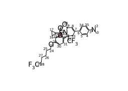 CN(C)c1ccc(C2=CC(=O)N(S(=O)(=O)C3CC3)C(c3ccc(OCCCCCC(F)(F)F)cc3)(C(F)(F)F)C2)cc1